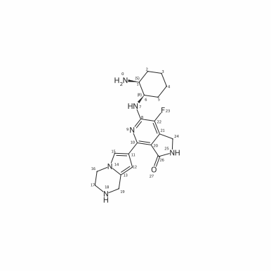 N[C@H]1CCCC[C@H]1Nc1nc(-c2cc3n(c2)CCNC3)c2c(c1F)CNC2=O